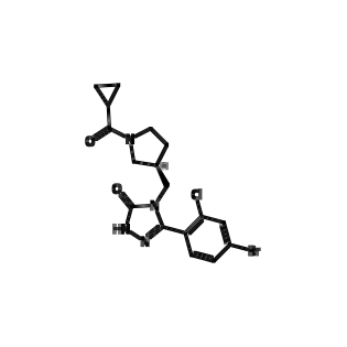 O=C(C1CC1)N1CC[C@@H](Cn2c(-c3ccc(Br)cc3Cl)n[nH]c2=O)C1